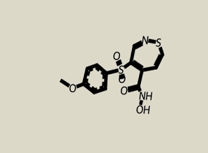 COc1ccc(S(=O)(=O)C2=C(C(=O)NO)C=CSN=C2)cc1